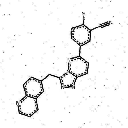 N#Cc1cc(-c2ccc3nnc(Cc4ccc5ncccc5c4)n3n2)ccc1F